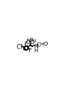 CCCCOC(=O)C(CCNC=O)c1c(F)ccc(Cl)c1F